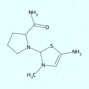 CN1C=C(N)SC1N1CCCC1C(N)=O